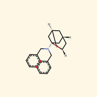 c1ccc(CN(Cc2ccccc2)[C@]23C[C@@H]4C[C@@H](C[C@H](C4)O2)C3)cc1